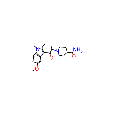 COc1ccc2c(c1)c(C(=O)C(C)N1CCC(C(N)=O)CC1)c(C)n2C